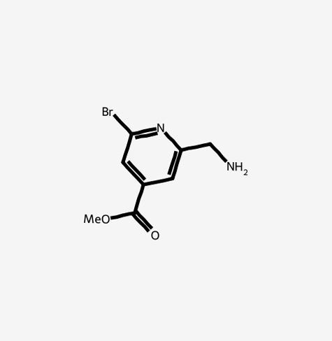 COC(=O)c1cc(Br)nc(CN)c1